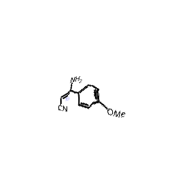 COc1ccc(/C(N)=C\C#N)cc1